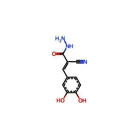 N#C/C(=C\c1ccc(O)c(O)c1)C(=O)NN